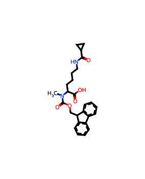 CN(C(=O)OCC1c2ccccc2-c2ccccc21)C(CCCCNC(=O)C1CC1)C(=O)O